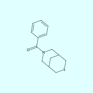 O=C(c1ccccc1)N1CC2CSCC(C2)C1